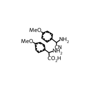 COc1ccc(C(N)C#N)cc1.COc1ccc(C(N)C(=O)O)cc1